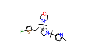 Cc1ccc(C(C)(C)N2CC[C@@](CCc3ccc(F)s3)(C(C)(C)N3CCOCC3)C2)cn1